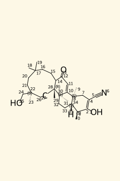 C[C@@H]1C(O)=C(C#N)C[C@]2(C)C3=CC(=O)C4CCC(C)(C)CC[C@](C)(CO)CC[C@@]4(C)[C@]3(C)CC[C@@H]12